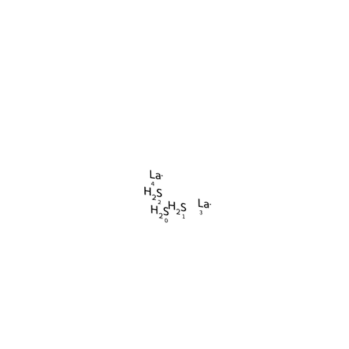 S.S.S.[La].[La]